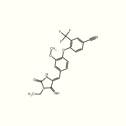 CCN1C(=N)C(=Cc2ccc(Oc3ccc(C#N)cc3C(F)(F)F)c(OC)c2)NC1=O